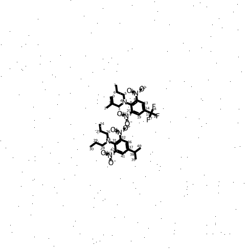 C=C(C)CN(CCC)c1c([N+](=O)[O-])cc(C(F)(F)F)cc1[N+](=O)[O-].CCCN(CCC)c1c([N+](=O)[O-])cc(C(C)C)cc1[N+](=O)[O-]